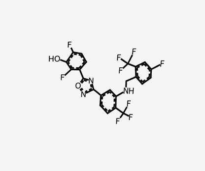 Oc1c(F)ccc(-c2nc(-c3ccc(C(F)(F)F)c(NCc4ccc(F)cc4C(F)(F)F)c3)no2)c1F